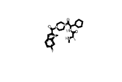 CN[C@@H](C)C(=O)NC(C(=O)N1CCN(C(=O)c2cc3ccc(F)cc3n2C)CC1)C1CCCCC1